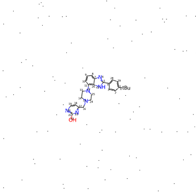 CC(C)(C)c1ccc(-c2nc3cccc(N4CCN(Cc5ccnc(O)n5)CC4)c3[nH]2)cc1